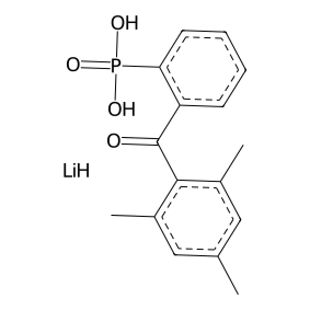 Cc1cc(C)c(C(=O)c2ccccc2P(=O)(O)O)c(C)c1.[LiH]